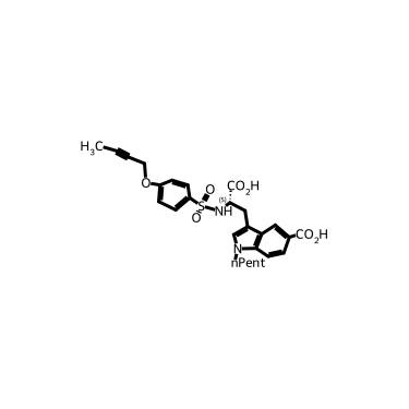 CC#CCOc1ccc(S(=O)(=O)N[C@@H](Cc2cn(CCCCC)c3ccc(C(=O)O)cc23)C(=O)O)cc1